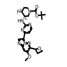 COc1cc2ncc(-c3ccnc(N[C@H]4CN(C(=O)OC(C)(C)C)CC[C@@H]4F)n3)n2nc1C1CCO1